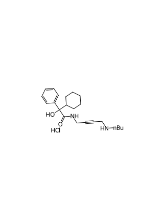 CCCCNCC#CCNC(=O)C(O)(c1ccccc1)C1CCCCC1.Cl